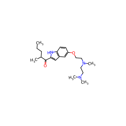 CCCC(C)C(=O)c1cc2cc(OCCN(C)CCN(C)C)ccc2[nH]1